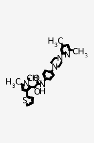 Cc1cc(C)nc(N2CCN(c3ccc(NC(=O)C(=O)c4c(-c5cccs5)cc(C)n4C)cc3)CC2)c1